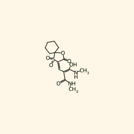 CNC(=O)C(/C=C1\C(=O)OC2(CCCCC2)S1(=O)=O)=C(/O)NC